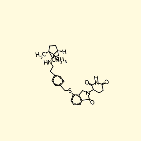 CC1(C)[C@@H]2CC[C@@]1(C)[C@@H](NCCc1ccc(CSc3cccc4c3CN(C3CCC(=O)NC3=O)C4=O)cc1)C2